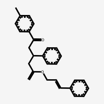 C=C(CC(CC(=O)c1ccc(C)cc1)c1ccccc1)OC/C=C/c1ccccc1